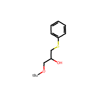 CC(C)(C)OCC(O)CSc1ccccc1